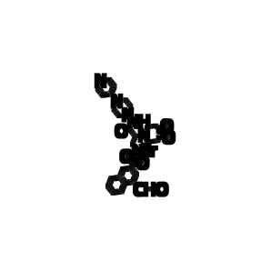 O=Cc1cc(S(=O)(=O)N(Br)CC(C(=O)NN2CCN(c3ccncc3)CC2)N2CCS(=O)(=O)CC2)cc2ccccc12